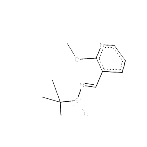 COc1ncccc1/C=N/[S@+]([O-])C(C)(C)C